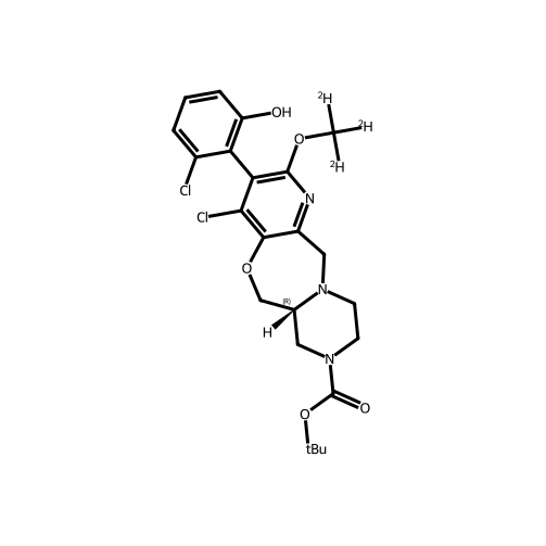 [2H]C([2H])([2H])Oc1nc2c(c(Cl)c1-c1c(O)cccc1Cl)OC[C@H]1CN(C(=O)OC(C)(C)C)CCN1C2